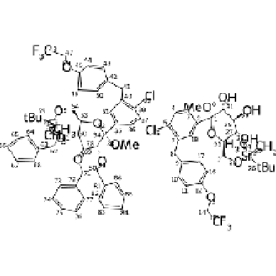 CO[C@@]1(c2ccc(Cl)c(Cc3ccc(OCC(F)(F)F)cc3)c2)O[C@H](CO[Si](C)(C)C(C)(C)C)[C@@H](O)[C@H](O)[C@H]1O.CO[C@@]1(c2ccc(Cl)c(Cc3ccc(OCC(F)(F)F)cc3)c2)O[C@H](CO[Si](C)(C)C(C)(C)C)[C@@H](OCc2ccccc2)[C@H](OCc2ccccc2)[C@H]1OCc1ccccc1